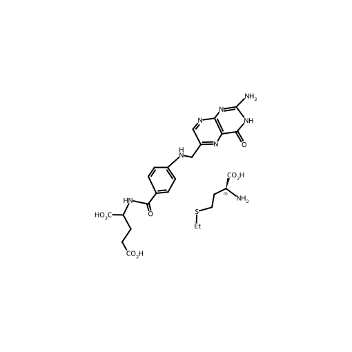 CCSCC[C@H](N)C(=O)O.Nc1nc2ncc(CNc3ccc(C(=O)NC(CCC(=O)O)C(=O)O)cc3)nc2c(=O)[nH]1